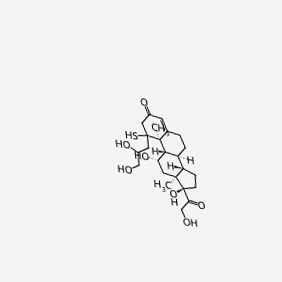 C[C@@]12C(=CC(=O)CC1(S)CC(O)CO)CC[C@@H]1[C@@H]2[C@@H](O)C[C@@]2(C)[C@H]1CC[C@]2(O)C(=O)CO